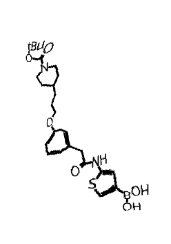 CC(C)(C)OC(=O)N1CCC(CCCOc2cccc(CC(=O)Nc3cc(B(O)O)cs3)c2)CC1